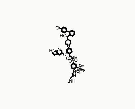 CNCCCNc1ccc(S(=O)(=O)NC(=O)c2ccc(N3CCC([C@H](O)c4ccccc4-c4ccc(Cl)cc4)CC3)cc2Oc2cnc3[nH]ccc3c2)cc1S(=O)(=O)C(F)(F)F